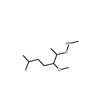 COC(CCC(C)C)C(C)OPC